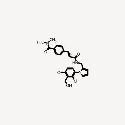 CN(C)C(=O)c1ccc(/C=C/C(=O)NCc2cccn2-c2ccc(Cl)c(CO)c2Cl)cc1